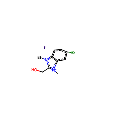 CCn1c(CO)[n+](C)c2cc(Br)ccc21.[I-]